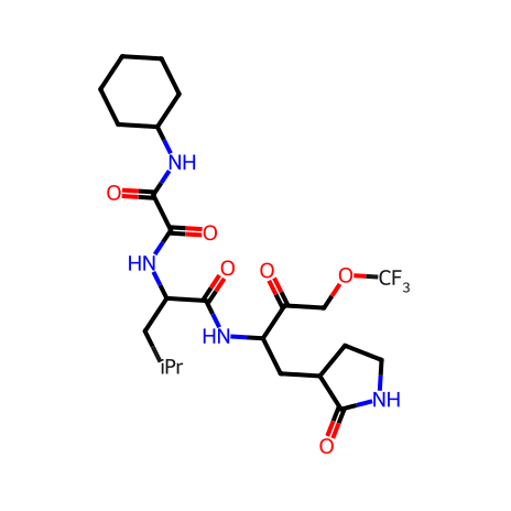 CC(C)CC(NC(=O)C(=O)NC1CCCCC1)C(=O)NC(CC1CCNC1=O)C(=O)COC(F)(F)F